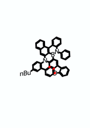 CCCCc1ccc(N2c3cc4oc5ccccc5c4cc3B3c4c2cc2ccccc2c4-c2ccccc2N3c2ccccc2)c(-c2ccccc2)c1